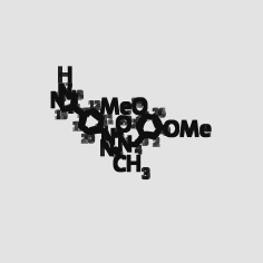 COc1cc(Cn2c(C)nn(-c3ccc(-c4cn[nH]c4)cc3)c2=O)cc(OC)c1